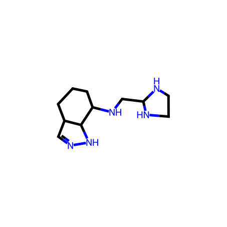 C1=NNC2C1CCCC2NCC1NCCN1